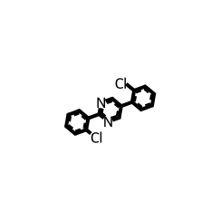 Clc1ccccc1-c1cnc(-c2ccccc2Cl)nc1